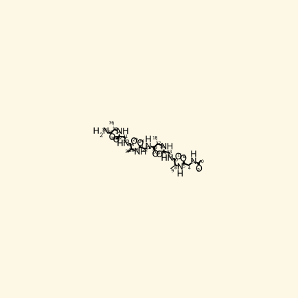 CC(=O)NCC(=O)N[C@@H](C)C(=O)NCC(=O)N[C@@H](C)C(=O)NCC(=O)NC(C)C(=O)NCC(=O)N[C@@H](C)C(N)=O